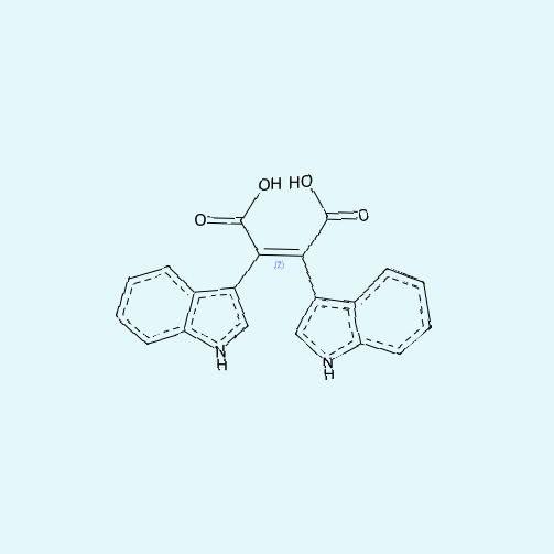 O=C(O)/C(=C(\C(=O)O)c1c[nH]c2ccccc12)c1c[nH]c2ccccc12